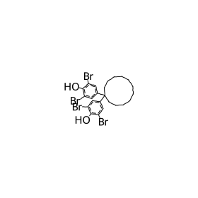 Oc1c(Br)cc(C2(c3cc(Br)c(O)c(Br)c3)CCCCCCCCCCC2)cc1Br